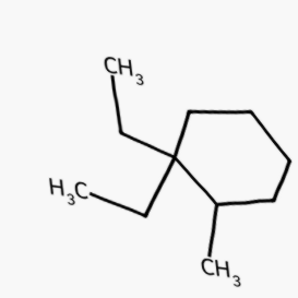 CCC1(CC)CCCCC1C